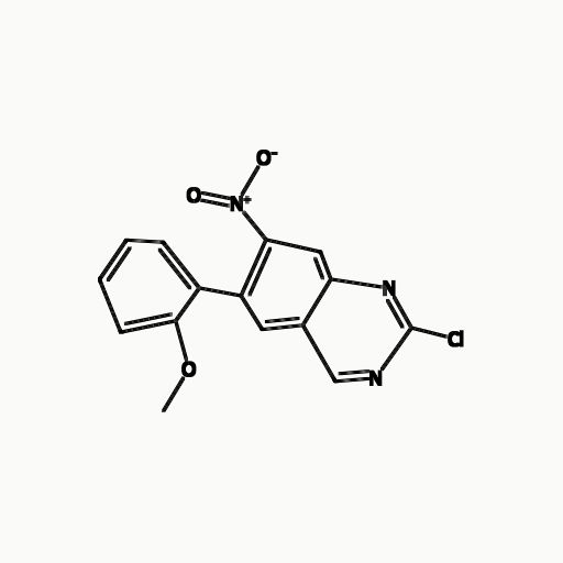 COc1ccccc1-c1cc2cnc(Cl)nc2cc1[N+](=O)[O-]